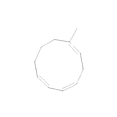 C/C1=C/C/C=C\C=C/CCC1